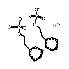 O=S([O-])(=S)OCCc1ccccc1.O=S([O-])(=S)OCCc1ccccc1.[Ni+2]